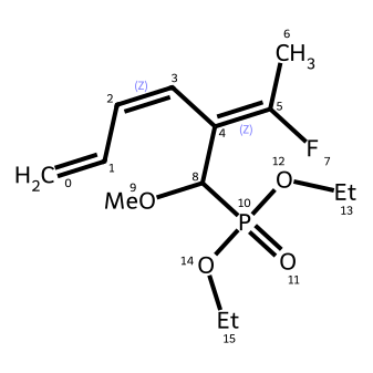 C=C/C=C\C(=C(/C)F)C(OC)P(=O)(OCC)OCC